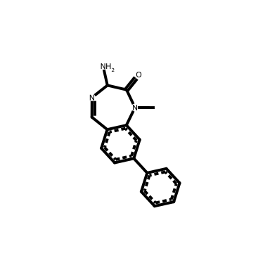 CN1C(=O)C(N)N=Cc2ccc(-c3ccccc3)cc21